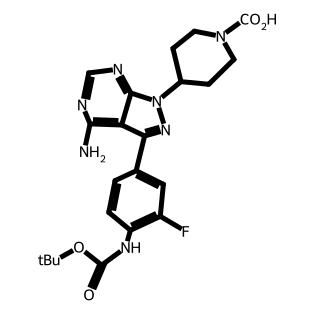 CC(C)(C)OC(=O)Nc1ccc(-c2nn(C3CCN(C(=O)O)CC3)c3ncnc(N)c23)cc1F